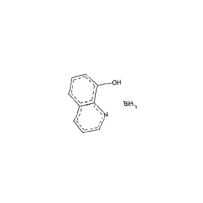 Oc1cccc2cccnc12.[BiH3]